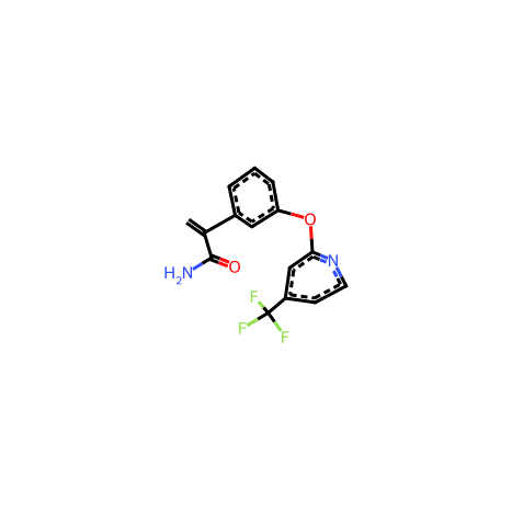 C=C(C(N)=O)c1cccc(Oc2cc(C(F)(F)F)ccn2)c1